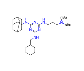 CCCCN(CCCC)CCCNc1nc(NCC2CCCCC2)nc(NC23CC4CC(CC(C4)C2)C3)n1